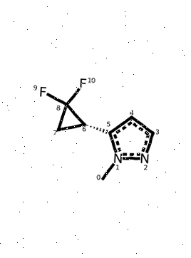 Cn1nc[c]c1[C@@H]1CC1(F)F